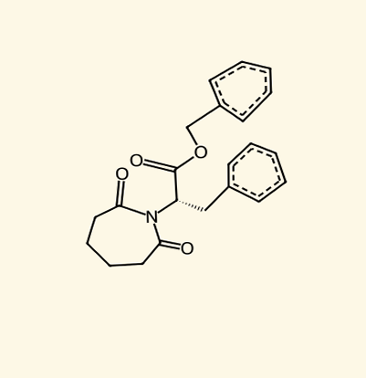 O=C(OCc1ccccc1)[C@H](Cc1ccccc1)N1C(=O)CCCCC1=O